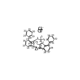 CC1=C2CC(C)(C)C3=C(C)[CH]([Zr+2][CH]1c1cccc(-c4ccccc4)c12)c1cccc(-c2ccccc2)c13.[Cl-].[Cl-]